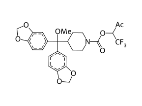 COC(c1ccc2c(c1)OCO2)(c1ccc2c(c1)OCO2)C1CCN(C(=O)OC(C(C)=O)C(F)(F)F)CC1